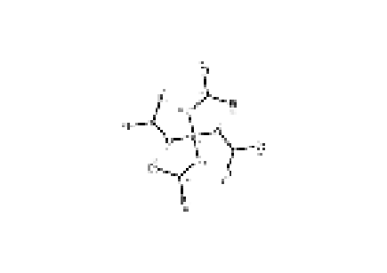 CCC(CC)O[Si](OC(CC)CC)(OC(CC)CC)OC(CC)CC